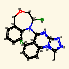 Cc1nnc2nc(N3c4ccccc4COCC3Br)c3c(F)cccc3n12